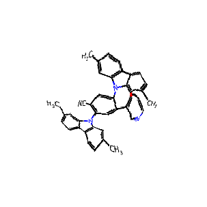 Cc1ccc2c3ccc(C)cc3n(-c3cc(-c4cccnc4)c(-n4c5cc(C)ccc5c5ccc(C)cc54)cc3C#N)c2c1